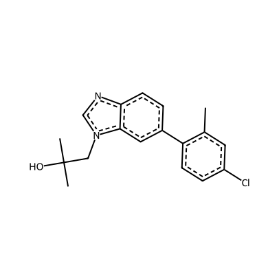 Cc1cc(Cl)ccc1-c1ccc2ncn(CC(C)(C)O)c2c1